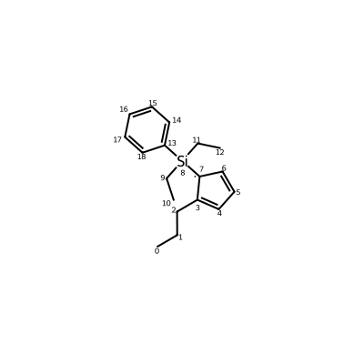 CCCC1=CC=C[C]1[Si](CC)(CC)c1ccccc1